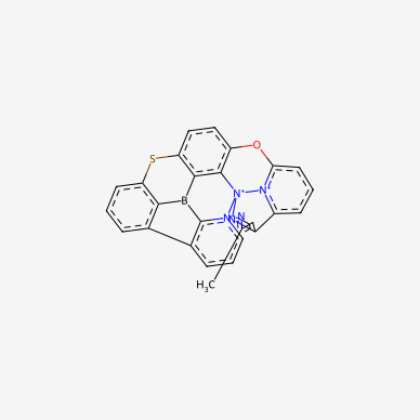 Cc1cc2n(n1)[N+]13c4c(ccc5c4B4c6c(cccc6-c6ccc[n+]1c64)S5)Oc1cccc-2[n+]13